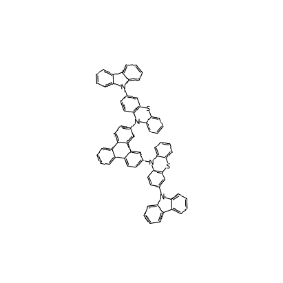 c1ccc2c(c1)Sc1cc(-n3c4ccccc4c4ccccc43)ccc1N2c1ccc2c3ccccc3c3ccc(N4c5ccccc5Sc5cc(-n6c7ccccc7c7ccccc76)ccc54)cc3c2c1